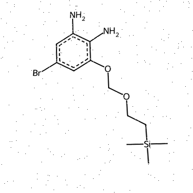 C[Si](C)(C)CCOCOc1cc(Br)cc(N)c1N